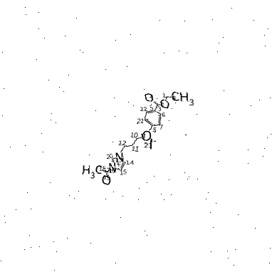 CCOC(=O)c1ccc(OCCCn2cc[n+](C(C)=O)c2)cc1.[I-]